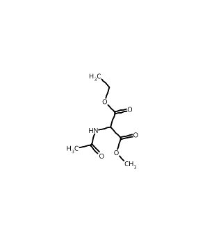 CCOC(=O)C(NC(C)=O)C(=O)OC